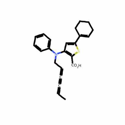 CC=C=C=CCN(c1ccccc1)c1cc(C2=CCCCC2)sc1C(=O)O